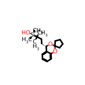 CC(C)(CC[C@@H]1OC2(CCCC2)Oc2ccccc21)[Si](C)(C)O